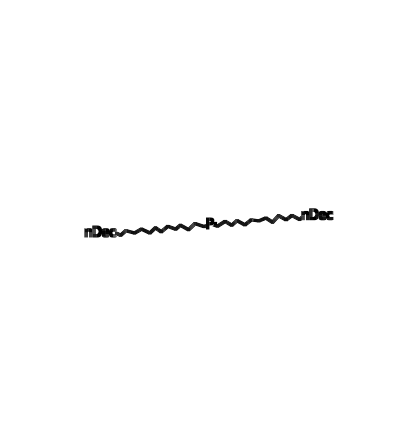 CCCCCCCCCCCCCCCCCCCCCCC[P]CCCCCCCCCCCCCCCCCCCCCCC